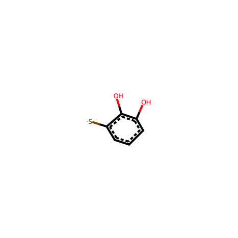 Oc1cccc([S])c1O